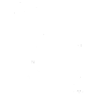 COC(=O)C1CCC(C(=O)N2CCC(c3ccc(C(F)(C(F)(F)F)C(F)(F)F)cc3)([S+]([O-])c3cccc(C)c3)C2)CC1